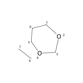 C1COCOC1.CC